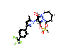 Cc1cc(-c2ccc(C(F)(F)F)cc2)nn1-c1c(OS(C)(=O)=O)n2n(c1=O)CCCCC2